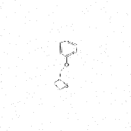 c1ccc(OCC2CCS2)cc1